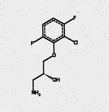 NC[C@@H](O)COc1c(F)ccc(F)c1Cl